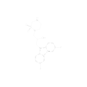 O=S1(=O)CNCCN1CC(O)Cn1c2ccc(F)cc2c2cc(F)ccc21